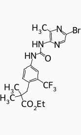 CCOC(=O)C(C)(C)Cc1ccc(NC(=O)Nc2ncc(Br)nc2C)cc1C(F)(F)F